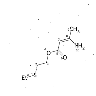 CCSCCOC(=O)/C=C(/C)N